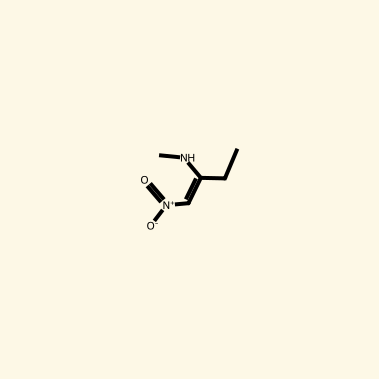 CCC(=C[N+](=O)[O-])NC